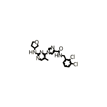 Cc1cnc(NC2CCOC2)nc1-n1cnc(C(=O)NCc2cccc(Cl)c2Cl)c1